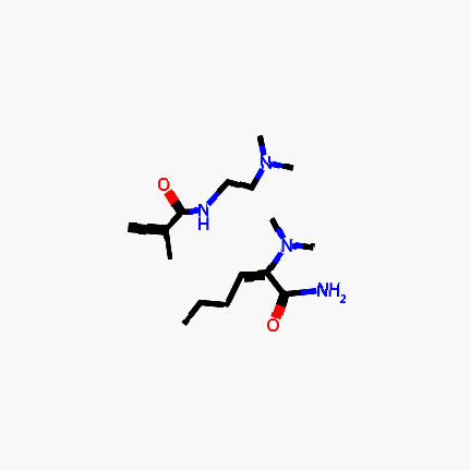 C=C(C)C(=O)NCCN(C)C.CCC/C=C(\C(N)=O)N(C)C